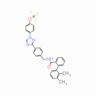 Cc1cccc(-c2ccccc2C(=O)NCc2ccc(-c3ncn(-c4ccc(OC(F)(F)F)cc4)n3)cc2)c1C